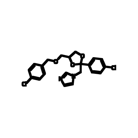 Clc1ccc(COCC2COC(Cn3ccnc3)(c3ccc(Cl)cc3)O2)cc1